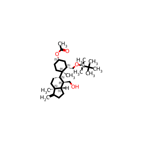 C=C1CC[C@H]2[C@H](CO)[C@@H]([C@@]3(C)CC[C@H](OC(C)=O)C[C@@H]3CO[Si](C)(C)C(C)(C)C)CC[C@]12C